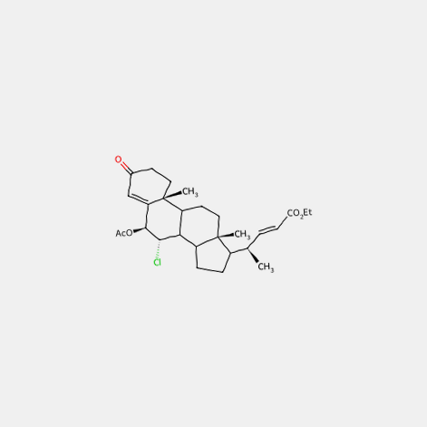 CCOC(=O)/C=C/[C@@H](C)C1CCC2C3C(CC[C@@]21C)[C@@]1(C)CCC(=O)C=C1[C@H](OC(C)=O)[C@H]3Cl